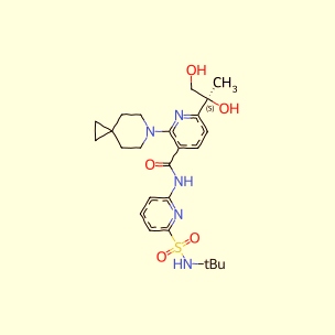 CC(C)(C)NS(=O)(=O)c1cccc(NC(=O)c2ccc([C@](C)(O)CO)nc2N2CCC3(CC2)CC3)n1